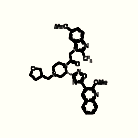 COc1ccc2nc(C(F)(F)F)n(CC(=O)N3CCN(CC4CCOC4)C[C@H]3c3noc(-c4cc5ccccc5nc4OC)n3)c2c1